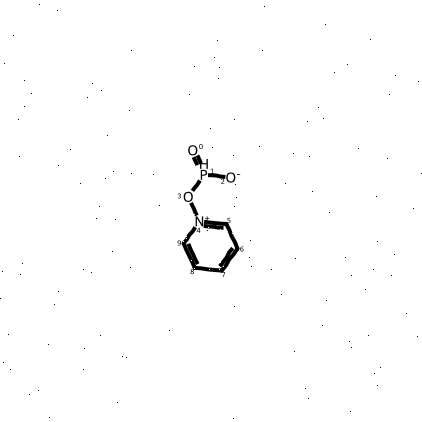 O=[PH]([O-])O[n+]1ccccc1